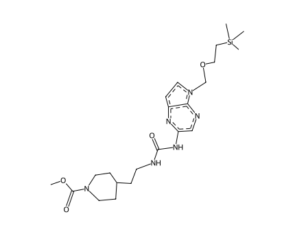 COC(=O)N1CCC(CCNC(=O)Nc2cnc3c(ccn3COCC[Si](C)(C)C)n2)CC1